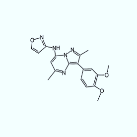 COc1ccc(-c2c(C)nn3c(Nc4ccon4)cc(C)nc23)cc1OC